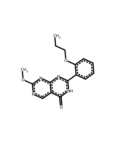 CCCOc1ccccc1-c1nc2nc(OC)ncc2c(=O)[nH]1